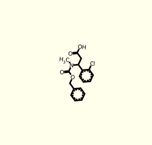 CN(C(=O)OCc1ccccc1)C(CC(=O)O)c1ccccc1Cl